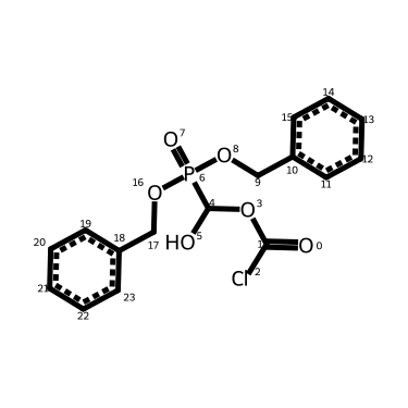 O=C(Cl)OC(O)P(=O)(OCc1ccccc1)OCc1ccccc1